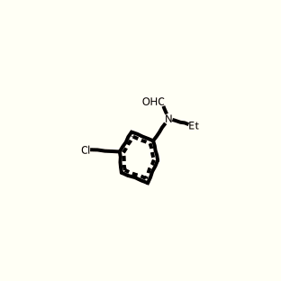 [CH2]CN(C=O)c1cccc(Cl)c1